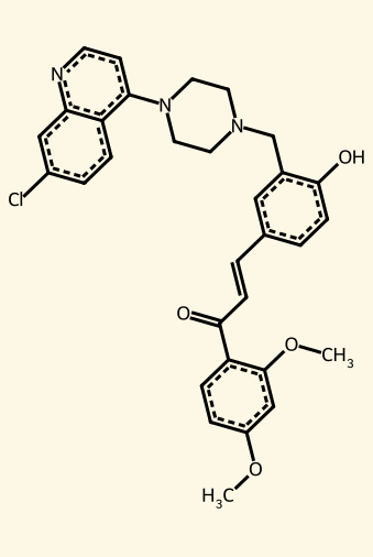 COc1ccc(C(=O)/C=C/c2ccc(O)c(CN3CCN(c4ccnc5cc(Cl)ccc45)CC3)c2)c(OC)c1